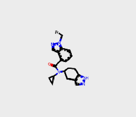 CC(C)Cn1ncc2c(C(=O)N(C3CC3)C3CCc4[nH]ncc4C3)cccc21